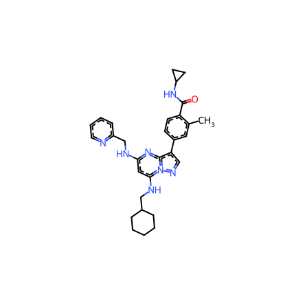 Cc1cc(-c2cnn3c(NCC4CCCCC4)cc(NCc4ccccn4)nc23)ccc1C(=O)NC1CC1